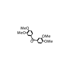 COc1ccc(C2OC2c2ccc(OC)c(OC)c2)cc1OC